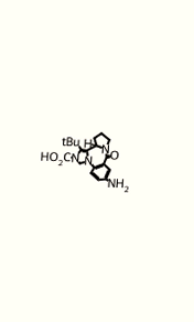 CC(C)(C)C1=C2[C@@H]3CCCN3C(=O)c3cc(N)ccc3N2CN1C(=O)O